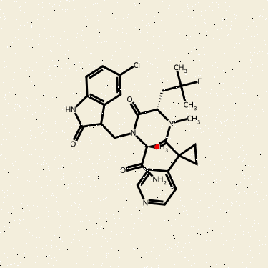 C[C@@H](C(N)=O)N(CC1C(=O)Nc2ccc(Cl)cc21)C(=O)[C@H](CC(C)(C)F)N(C)C(=O)C1(c2ccncc2)CC1